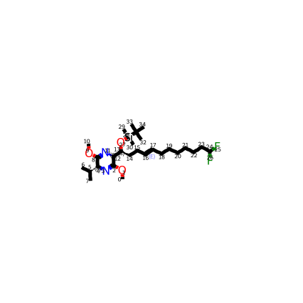 COC1=N[C@H](C(C)C)C(OC)=N[C@H]1[C@H](CC/C=C/CCCCCCC(F)F)O[Si](C)(C)C(C)(C)C